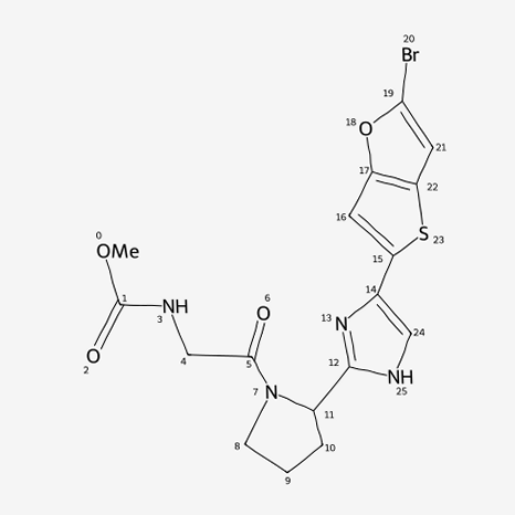 COC(=O)NCC(=O)N1CCCC1c1nc(-c2cc3oc(Br)cc3s2)c[nH]1